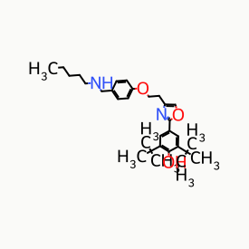 CCCCCNCc1ccc(OCCc2coc(-c3cc(C(C)(C)C)c(O)c(C(C)(C)C)c3)n2)cc1